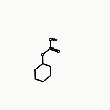 CO[N+](=O)OC1CCCCC1